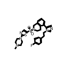 CN1CCN(c2ncc(S(=O)(=O)N3CCc4c(cccc4-c4cncn4CCc4ccc(F)cc4)C3)s2)CC1